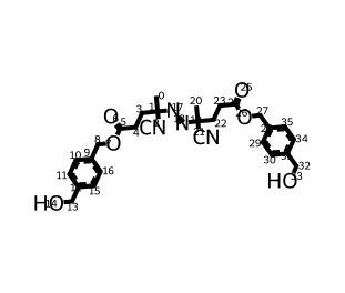 CC(C#N)(CCC(=O)OCc1ccc(CO)cc1)N=NC(C)(C#N)CCC(=O)OCc1ccc(CO)cc1